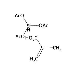 C=C(C)C(=O)O.CC(=O)O[SiH](OC(C)=O)OC(C)=O